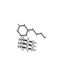 CCCCC1CCCCC1.N=C=O.N=C=O.N=C=O